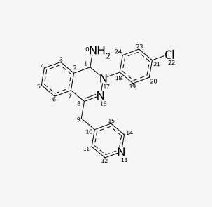 NC1c2ccccc2C(Cc2ccncc2)=NN1c1ccc(Cl)cc1